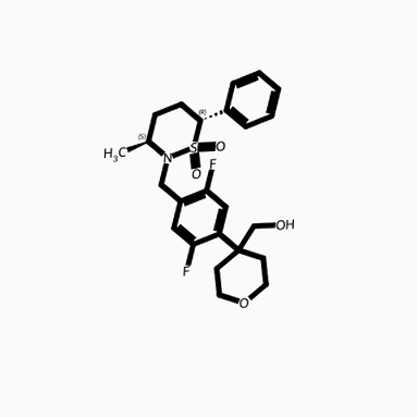 C[C@H]1CC[C@H](c2ccccc2)S(=O)(=O)N1Cc1cc(F)c(C2(CO)CCOCC2)cc1F